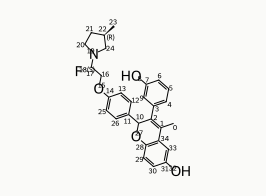 CC1=C(c2cccc(O)c2)C(c2ccc(OC[C@H](F)N3CC[C@@H](C)C3)cc2)Oc2ccc(O)cc21